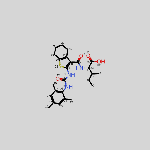 CCC(C)[C@H](NC(=O)c1c(NC(=O)Nc2c(C)cc(C)cc2C)sc2c1CCCC2)C(=O)O